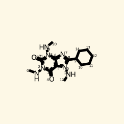 CNn1c(=O)c2c(nc(C3CCCCC3)n2NC)n(NC)c1=O